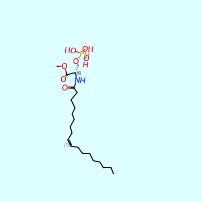 CCCCCCCC/C=C\CCCCCCCC(=O)N[C@@H](CO[PH](O)(O)O)C(=O)OC